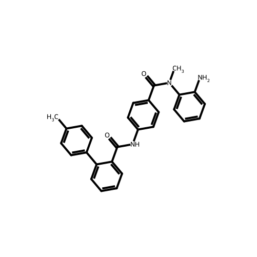 Cc1ccc(-c2ccccc2C(=O)Nc2ccc(C(=O)N(C)c3ccccc3N)cc2)cc1